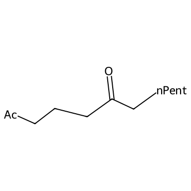 CCCCCCC(=O)CCCC(C)=O